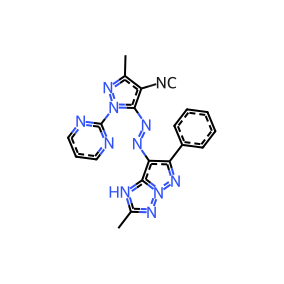 [C-]#[N+]c1c(C)nn(-c2ncccn2)c1/N=N/c1c(-c2ccccc2)nn2nc(C)[nH]c12